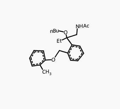 CCCCOC(CC)(CNC(C)=O)c1ccccc1COc1ccccc1C